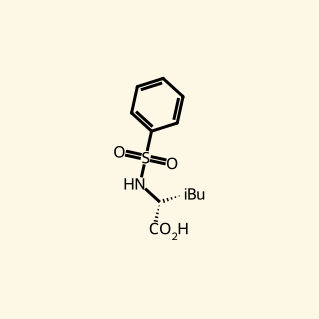 CC[C@@H](C)[C@@H](NS(=O)(=O)c1ccccc1)C(=O)O